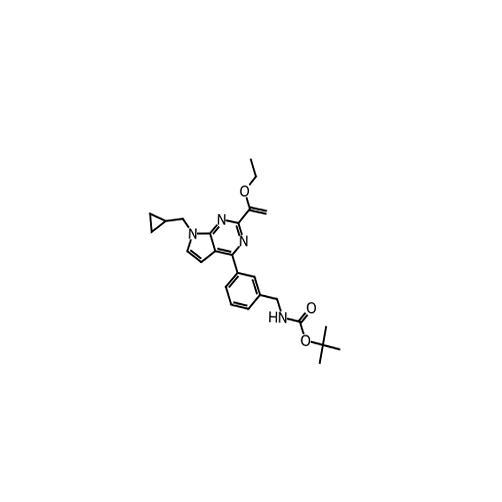 C=C(OCC)c1nc(-c2cccc(CNC(=O)OC(C)(C)C)c2)c2ccn(CC3CC3)c2n1